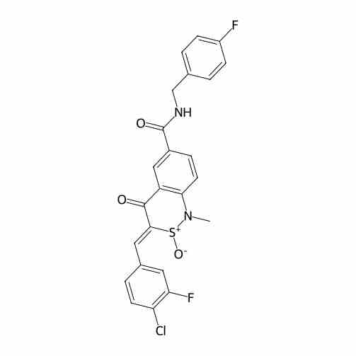 CN1c2ccc(C(=O)NCc3ccc(F)cc3)cc2C(=O)/C(=C/c2ccc(Cl)c(F)c2)[S+]1[O-]